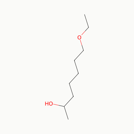 CCOCCCCCC(C)O